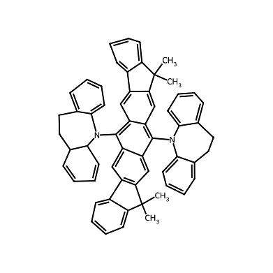 CC1(C)c2ccccc2-c2cc3c(N4c5ccccc5CCC5C=CC=CC54)c4cc5c(cc4c(N4c6ccccc6CCc6ccccc64)c3cc21)C(C)(C)c1ccccc1-5